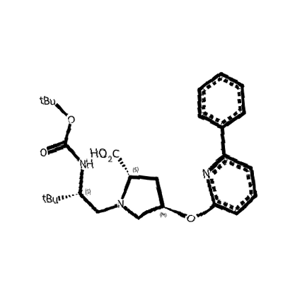 CC(C)(C)OC(=O)N[C@H](CN1C[C@H](Oc2cccc(-c3ccccc3)n2)C[C@H]1C(=O)O)C(C)(C)C